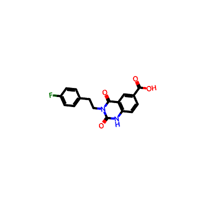 O=C(O)c1ccc2[nH]c(=O)n(CCc3ccc(F)cc3)c(=O)c2c1